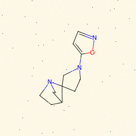 c1cc(N2CCC3(C2)C2CCN3CC2)on1